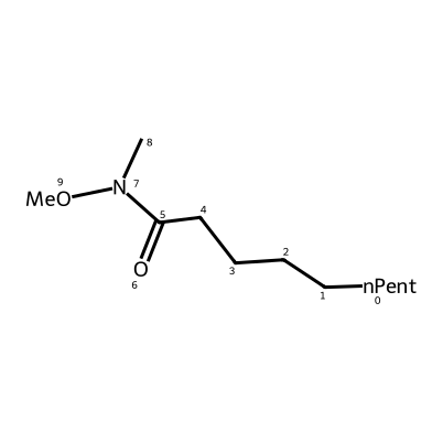 CCCCCCCCCC(=O)N(C)OC